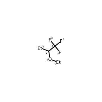 CCOC(CC)C(F)(F)F